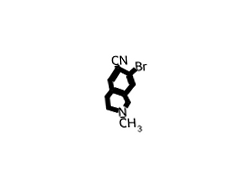 CN1CCc2cc(C#N)c(Br)cc2C1